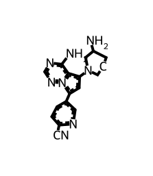 N#Cc1ccc(-c2cc(N3CCCC(N)C3)c3c(N)ncnn23)cn1